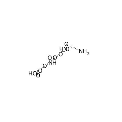 NCCCCCC(=O)ONCCOCCOCC(=O)NCCOCCOCC(=O)O